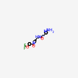 Nc1ccc(/C=C/C(=O)NCCC2C3CN(C(=O)c4cccc(OC(F)F)c4)CC23)cn1